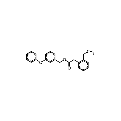 CCc1ccccc1CC(=O)OCc1cccc(Oc2ccccc2)c1